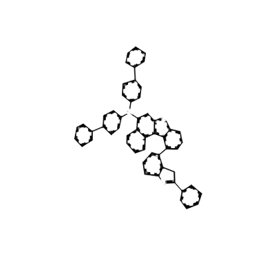 c1ccc(C2=Nc3cccc(-c4cccc5oc6cc(N(c7ccc(-c8ccccc8)cc7)c7ccc(-c8ccccc8)cc7)c7ccccc7c6c45)c3C2)cc1